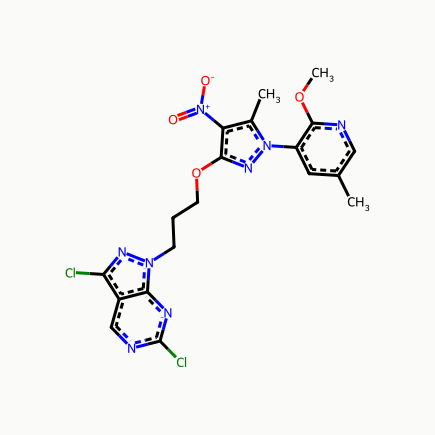 COc1ncc(C)cc1-n1nc(OCCCn2nc(Cl)c3cnc(Cl)nc32)c([N+](=O)[O-])c1C